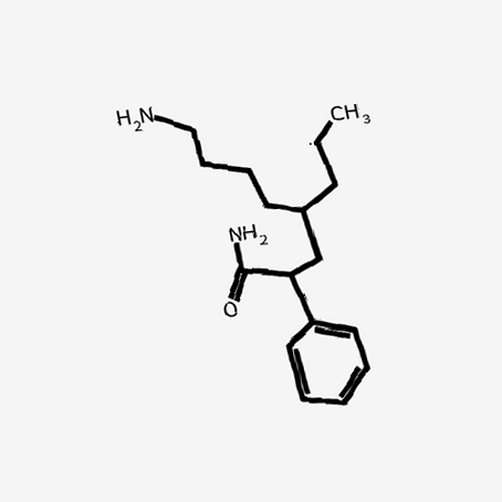 C[CH]CC(CCCCN)CC(C(N)=O)c1ccccc1